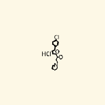 Cl.O=C(CCN1CCCC1)c1ccc(-c2ccc(Cl)cc2)o1